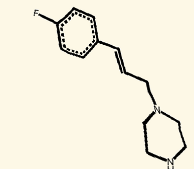 Fc1ccc(C=CCN2CCNCC2)cc1